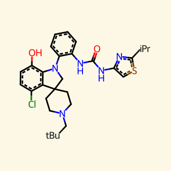 CC(C)c1nc(NC(=O)Nc2ccccc2N2CC3(CCN(CC(C)(C)C)CC3)c3c(Cl)ccc(O)c32)cs1